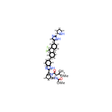 COC(=O)N[C@H](C(=O)N1C(c2nc3ccc(-c4ccc5c(c4)C(F)(F)c4cc(-c6cnc([C@@H]7CCCN7)[nH]6)ccc4-5)cc3[nH]2)C2CC[C@@H]1C2)[C@@H](C)OC